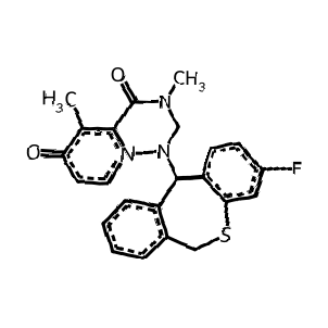 Cc1c2n(ccc1=O)N(C1c3ccccc3CSc3cc(F)ccc31)CN(C)C2=O